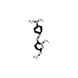 COc1ccc(N=Nc2ccc(N(C)C)cc2)[n+](C)n1